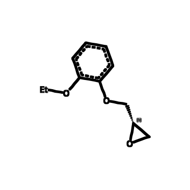 CCOc1ccccc1OC[C@@H]1CO1